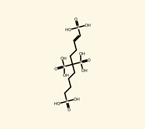 O=P(O)(O)C=CCCC(CCCCP(=O)(O)O)(P(=O)(O)O)P(=O)(O)O